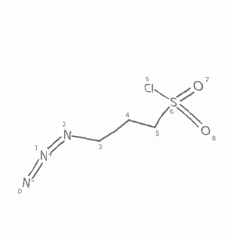 [N-]=[N+]=NCCCS(=O)(=O)Cl